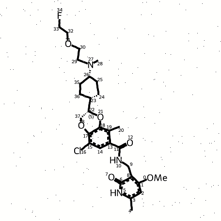 COc1cc(C)[nH]c(=O)c1CNC(=O)c1cc(Cl)c2c(c1C)O[C@@H]([C@H]1CC[C@@H](N(C)CCOCCF)CC1)CO2